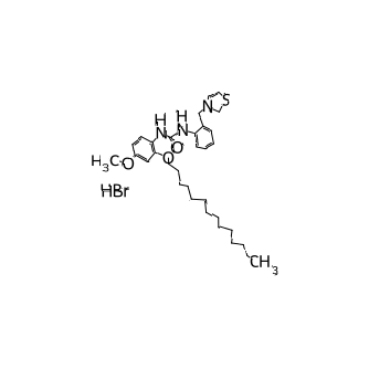 Br.CCCCCCCCCCCCCCOc1cc(OC)ccc1NC(=O)Nc1ccccc1CN1C=CSC1